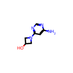 Nc1cc(N2CC(O)C2)ncn1